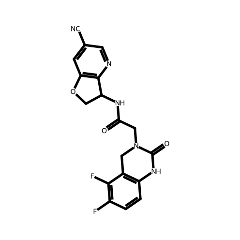 N#Cc1cnc2c(c1)OCC2NC(=O)CN1Cc2c(ccc(F)c2F)NC1=O